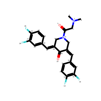 CN(C)CC(=O)N1CC(=Cc2ccc(F)c(F)c2)C(=O)C(=Cc2ccc(F)c(F)c2)C1